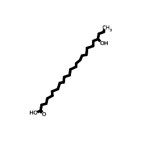 CCCC(O)CCCCCCCCCCCCCCCCCCCC(=O)O